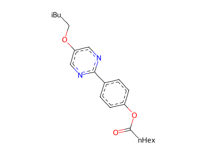 CCCCCCC(=O)Oc1ccc(-c2ncc(OCC(C)CC)cn2)cc1